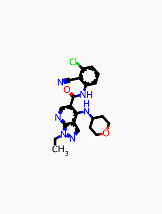 CCn1ncc2c(NC3CCOCC3)c(C(=O)Nc3cccc(Cl)c3C#N)cnc21